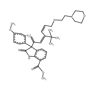 C=C(/C=C(\C=C/COCCN1CCOCC1)C(C)(C)C)C1(c2ccc(OC)cc2)C(=O)Nc2c(C(=O)OC)cccc21